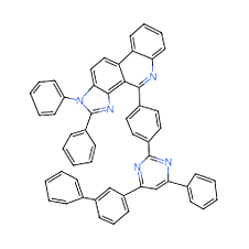 c1ccc(-c2cccc(-c3cc(-c4ccccc4)nc(-c4ccc(-c5nc6ccccc6c6ccc7c(nc(-c8ccccc8)n7-c7ccccc7)c56)cc4)n3)c2)cc1